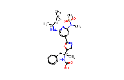 C[C@H](Nc1cc(-c2ncc([C@@](C)(Cc3ccccc3)NC(=O)O)o2)cc(N(C)S(C)(=O)=O)n1)[C@H]1C[C@@H]1C